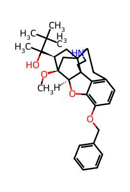 CO[C@]12CC3(C[C@@H]1C(C)(O)C(C)(C)C)C1Cc4ccc(OCc5ccccc5)c5c4C3(CCN1)[C@H]2O5